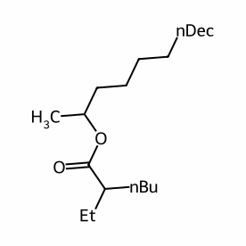 CCCCCCCCCCCCCCC(C)OC(=O)C(CC)CCCC